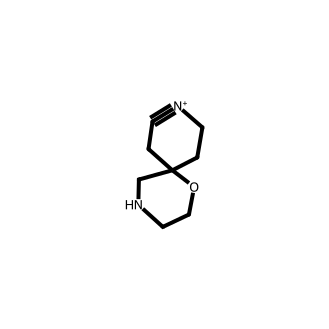 C1#[N+]CCC2(C1)CNCCO2